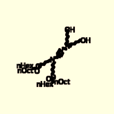 CCCCCCCCC(CCCCCC)C(=O)OCCCCCCN(CCCCCCOC(=O)C(CCCCCC)CCCCCCCC)CCN1CCN(CCN(CCCCCCO)CCCCCCO)CC1